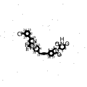 O=C1CCC(N2Cc3cc(C#CCC4CCN(c5ncc(-c6cccc(Cl)c6)cc5C(F)(F)F)CC4)ccc3C2=O)C(=O)N1